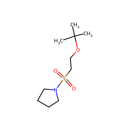 CC(C)(C)OCCS(=O)(=O)N1CCCC1